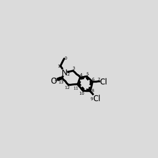 CCN1Cc2cc(Cl)c(Cl)cc2CC1=O